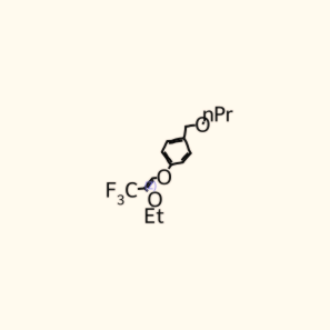 C[CH]COCc1ccc(O/C=C(\OCC)C(F)(F)F)cc1